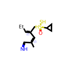 CC/C=C(/C=C(/C)C=N)C[SH](=O)(S)C1CC1